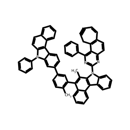 Cc1ccc(-c2ccc3c4c5ccccc5ccc4n(-c4ccccc4)c3c2)cc1-c1c(C)c2c(c3ccccc13)c1ccccc1n2-c1nc(-c2ccccc2)c2c3c(ccc2n1)C=CC#CC3